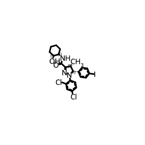 C[C@H]1C(C(=O)N[C@H]2CCCC[C@@H]2O)=NN(c2ccc(Cl)cc2Cl)[C@H]1c1ccc(I)cc1